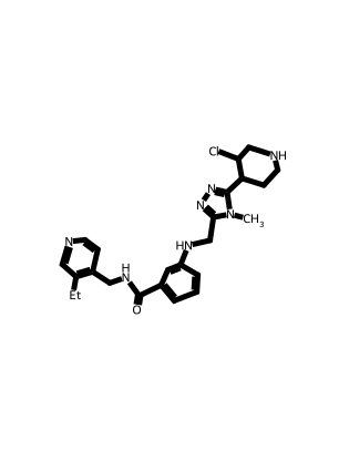 CCc1cnccc1CNC(=O)c1cccc(NCc2nnc(C3CCNCC3Cl)n2C)c1